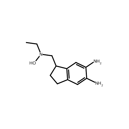 CCN(O)CC1CCc2cc(N)c(N)cc21